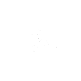 C[SiH](C)[Zr]([CH3])(=[SiH2])([CH2]CO)([C]1=CC=CC1)[CH]1c2ccccc2-c2ccccc21.Cl.Cl